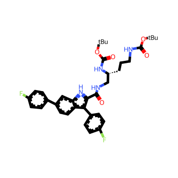 CC(C)(C)OC(=O)NCCC[C@H](CNC(=O)c1[nH]c2cc(-c3ccc(F)cc3)ccc2c1-c1ccc(F)cc1)NC(=O)OC(C)(C)C